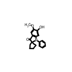 COc1cc2c(cc1O)N(c1ccccc1)C1(CCCC1)C2=O